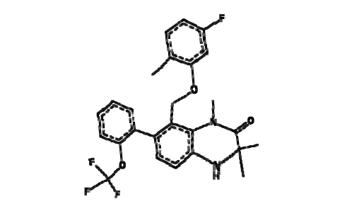 Cc1ccc(F)cc1OCc1c(-c2ccccc2OC(F)(F)F)ccc2c1N(C)C(=O)C(C)(C)N2